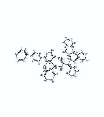 c1ccc(-c2ccc(-c3ccc4nc(-n5c6ccccc6c6c7ccccc7c7c8ccccc8sc7c65)nc5c4c3Oc3ccccc3-5)cc2)cc1